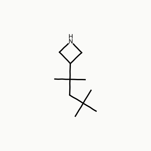 CC(C)(C)CC(C)(C)C1CNC1